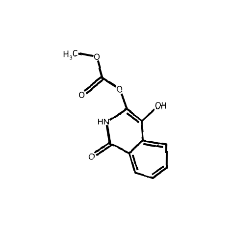 COC(=O)Oc1[nH]c(=O)c2ccccc2c1O